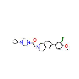 COc1ccc(-c2ccc3c(c2)CCN(CC(=O)N2CCN(C4CCC4)CC2)C3)cc1F